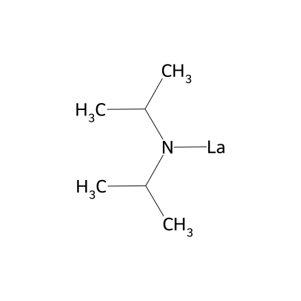 CC(C)[N]([La])C(C)C